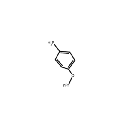 CCCOc1ccc(P)cc1